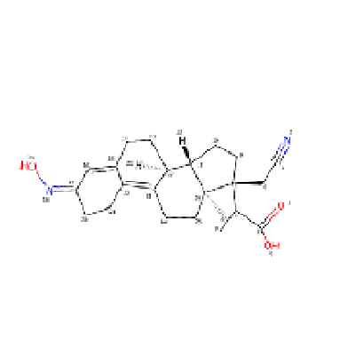 CC(C(=O)O)[C@@]1(CC#N)CC[C@H]2[C@@H]3CCC4=C/C(=N\O)CCC4=C3CC[C@@]21C